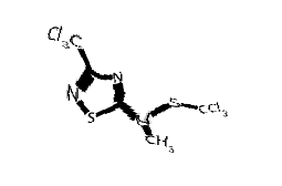 CN(SC(Cl)(Cl)Cl)c1nc(C(Cl)(Cl)Cl)ns1